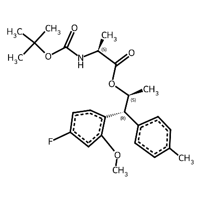 COc1cc(F)ccc1[C@@H](c1ccc(C)cc1)[C@H](C)OC(=O)[C@H](C)NC(=O)OC(C)(C)C